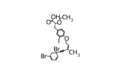 CCO[C@@H](Cc1ccc(OC/C=C(/C)C#CC2(Br)C=CC=C(Br)C2)c(I)c1)C(=O)O